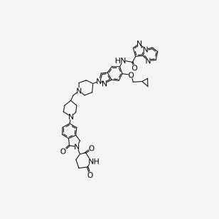 O=C1CCC(N2Cc3cc(N4CCC(CN5CCC(n6cc7cc(NC(=O)c8cnn9cccnc89)c(OCC8CC8)cc7n6)CC5)CC4)ccc3C2=O)C(=O)N1